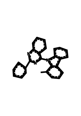 Cc1cccc2c3ccccc3n(-c3nc(-c4ccccc4)nc4ccccc34)c12